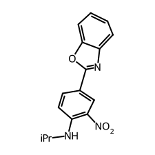 CC(C)Nc1ccc(-c2nc3ccccc3o2)cc1[N+](=O)[O-]